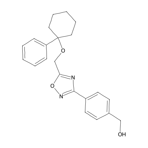 OCc1ccc(-c2noc(COC3(c4ccccc4)CCCCC3)n2)cc1